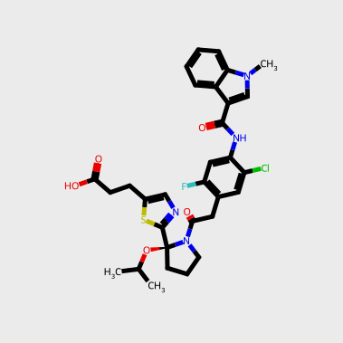 CC(C)O[C@]1(c2ncc(CCC(=O)O)s2)CCCN1C(=O)Cc1cc(Cl)c(NC(=O)c2cn(C)c3ccccc23)cc1F